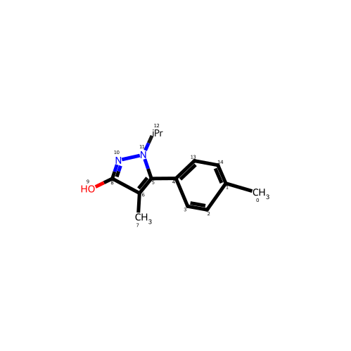 Cc1ccc(-c2c(C)c(O)nn2C(C)C)cc1